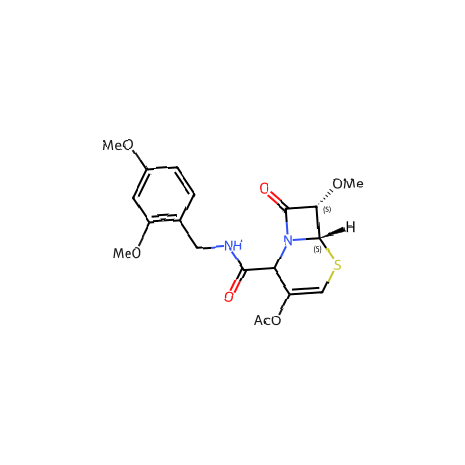 COc1ccc(CNC(=O)C2C(OC(C)=O)=CS[C@H]3[C@@H](OC)C(=O)N23)c(OC)c1